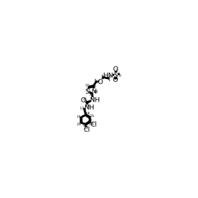 CS(=O)(=O)NCCOCc1csc(NC(=O)NCc2ccc(Cl)c(Cl)c2)n1